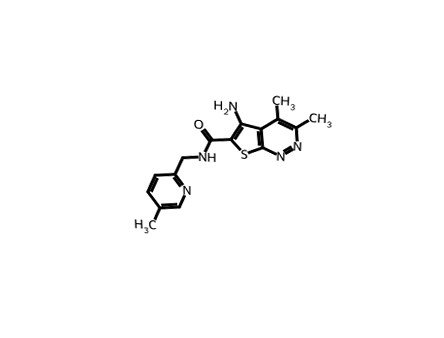 Cc1ccc(CNC(=O)c2sc3nnc(C)c(C)c3c2N)nc1